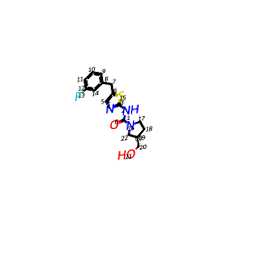 O=C(Nc1ncc(Cc2cccc(F)c2)s1)N1CC[C@@H](CO)C1